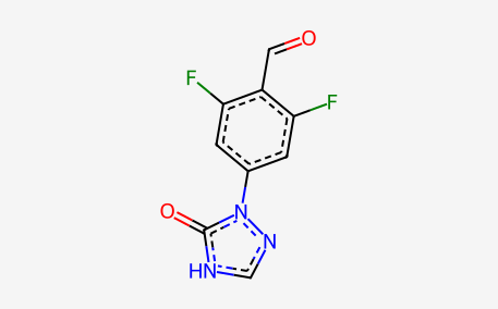 O=Cc1c(F)cc(-n2nc[nH]c2=O)cc1F